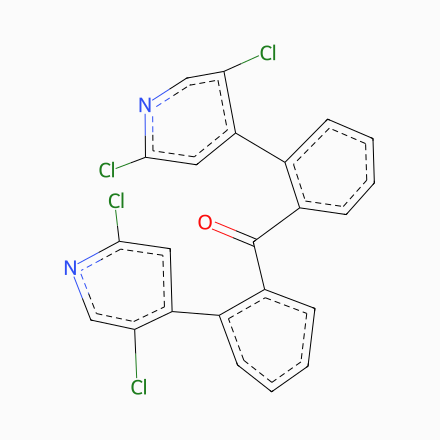 O=C(c1ccccc1-c1cc(Cl)ncc1Cl)c1ccccc1-c1cc(Cl)ncc1Cl